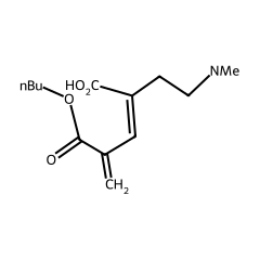 C=C(C=C(CCNC)C(=O)O)C(=O)OCCCC